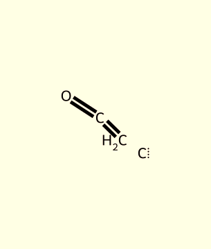 C=C=O.[C]